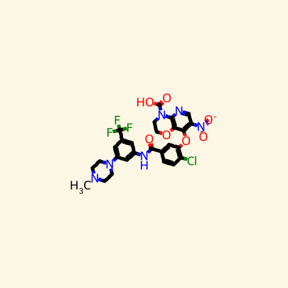 CN1CCN(c2cc(NC(=O)c3ccc(Cl)c(Oc4c([N+](=O)[O-])cnc5c4OCCN5C(=O)O)c3)cc(C(F)(F)F)c2)CC1